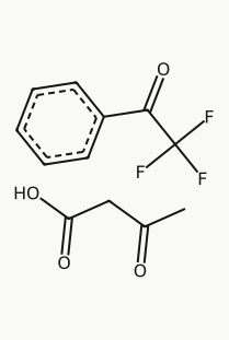 CC(=O)CC(=O)O.O=C(c1ccccc1)C(F)(F)F